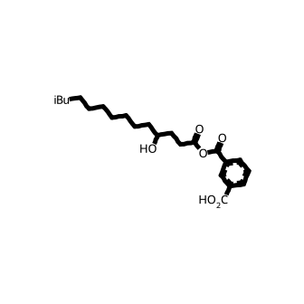 CCC(C)CCCCCCCC(O)CCC(=O)OC(=O)c1cccc(C(=O)O)c1